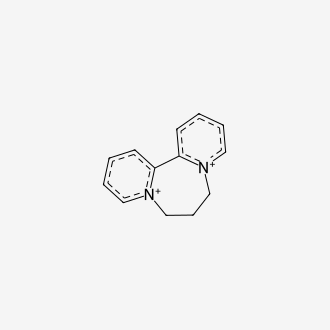 c1cc[n+]2c(c1)-c1cccc[n+]1CCC2